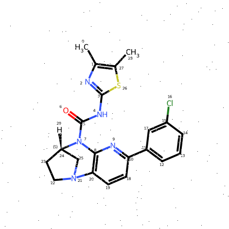 Cc1nc(NC(=O)N2c3nc(-c4cccc(Cl)c4)ccc3N3CC[C@H]2C3)sc1C